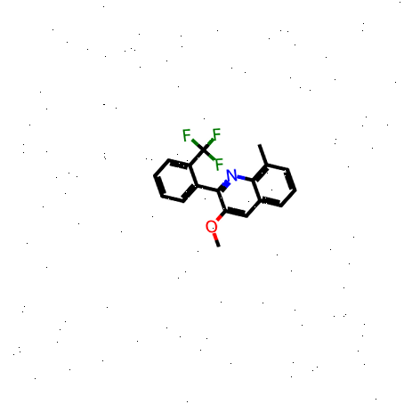 COc1cc2cccc(C)c2nc1-c1ccccc1C(F)(F)F